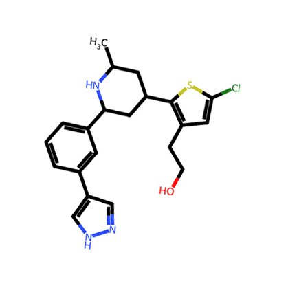 CC1CC(c2sc(Cl)cc2CCO)CC(c2cccc(-c3cn[nH]c3)c2)N1